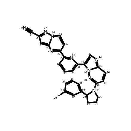 N#Cc1cc2nc(-c3cccc(-c4cnc5ccc(N6CCCC6c6cccc(F)c6)nn45)n3)ccn2n1